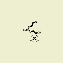 CCCCN(OCCO)OCCO.O=P(O)(O)O